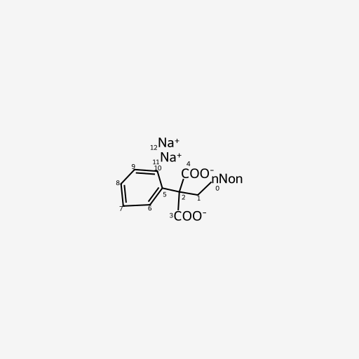 CCCCCCCCCCC(C(=O)[O-])(C(=O)[O-])c1ccccc1.[Na+].[Na+]